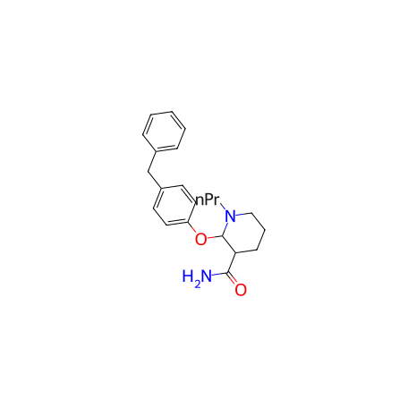 CCCN1CCCC(C(N)=O)C1Oc1ccc(Cc2ccccc2)cc1